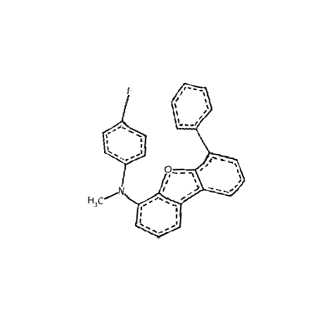 CN(c1ccc(F)cc1)c1cccc2c1oc1c(-c3ccccc3)cccc12